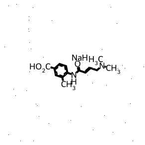 Cc1cc(C(=O)O)ccc1NC(=O)C=CCN(C)C.[NaH]